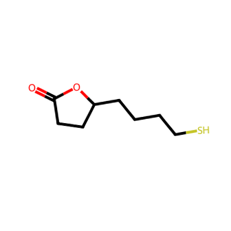 O=C1CCC(CCCCS)O1